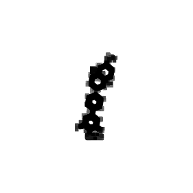 CCCC1CC[C@@H]2C[C@H](c3ccc(-c4cc(F)c(OC)c(F)c4)cc3)CC[C@@H]2C1